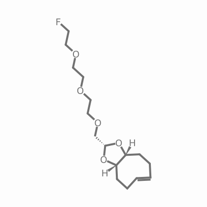 FCCOCCOCCOC[C@H]1O[C@H]2CC/C=C/CC[C@H]2O1